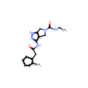 CCNC(=O)N1Cc2[nH]nc(NC(=O)Cc3ccccc3C)c2C1